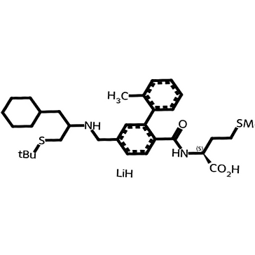 CSCC[C@H](NC(=O)c1ccc(CNC(CSC(C)(C)C)CC2CCCCC2)cc1-c1ccccc1C)C(=O)O.[LiH]